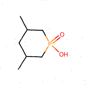 CC1CC(C)CP(=O)(O)C1